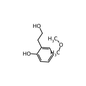 COC.OCCc1ccccc1O